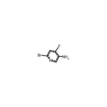 Nc1cnc(Br)cc1F